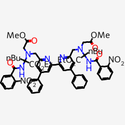 CCCCC(NC(=O)c1ccccc1[N+](=O)[O-])(C(=O)OCC)N(CC(=O)OC)Cc1cc(-c2ccccc2)cc(-c2cc(-c3ccccc3)cc(CN(CC(=O)OC)C(CCCC)(NC(=O)c3ccccc3[N+](=O)[O-])C(=O)OCC)n2)n1